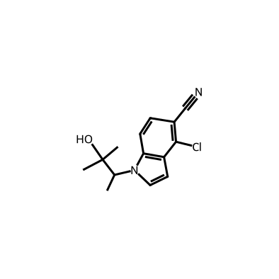 CC(n1ccc2c(Cl)c(C#N)ccc21)C(C)(C)O